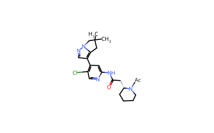 CC(=O)N1CCCC[C@@H]1CC(=O)Nc1cc(-c2cnn3c2CC(C)(C)C3)c(Cl)cn1